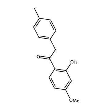 COc1ccc(C(=O)Cc2ccc(C)cc2)c(O)c1